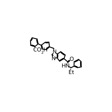 CC[C@H](NC(=O)c1ccc2c(c1)ncn2Cc1ccc(-c2ccccc2C(=O)O)cc1)c1ccccc1